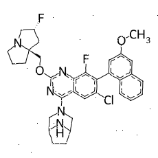 COc1cc(-c2c(Cl)cc3c(N4CC5CCC(C4)N5)nc(OC[C@@]45CCCN4C[C@H](F)C5)nc3c2F)c2ccccc2c1